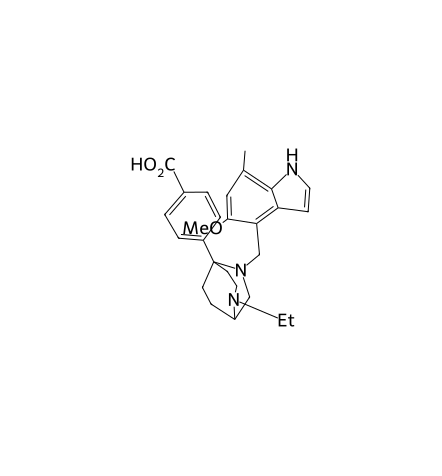 CCN1CCC2(c3ccc(C(=O)O)cc3)CCC1CN2Cc1c(OC)cc(C)c2[nH]ccc12